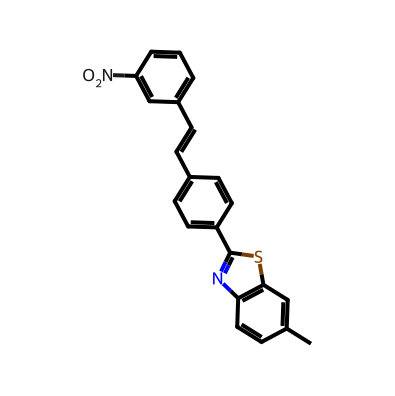 Cc1ccc2nc(-c3ccc(C=Cc4cccc([N+](=O)[O-])c4)cc3)sc2c1